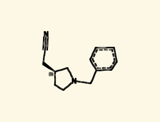 N#CC[C@@H]1CCN(Cc2ccccc2)C1